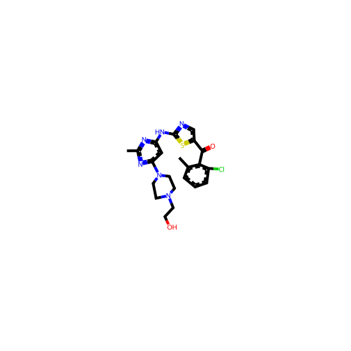 Cc1nc(Nc2ncc(C(=O)c3c(C)cccc3Cl)s2)cc(N2CCN(CCO)CC2)n1